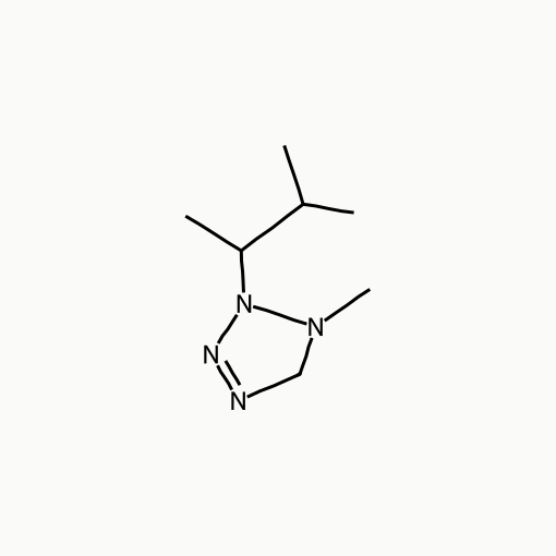 CC(C)C(C)N1N=NCN1C